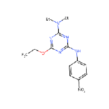 CCN(CC)c1nc(Nc2ccc([N+](=O)[O-])cc2)nc(OCC(F)(F)F)n1